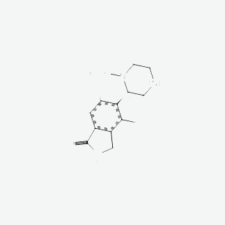 CCOC(=O)N1CCNC[C@H]1c1ccc2c(c1C)COC2=O